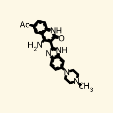 CC(=O)c1ccc2[nH]c(=O)c(-c3nc4ccc(N5CCN(C)CC5)cc4[nH]3)c(N)c2c1